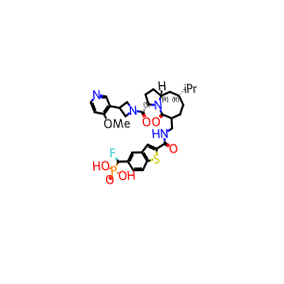 COc1ccncc1C1CN(C(=O)[C@@H]2CC[C@@H]3C[C@H](C(C)C)CCC(CNC(=O)c4cc5cc(C(F)P(=O)(O)O)ccc5s4)C(=O)N32)C1